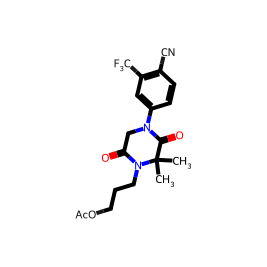 CC(=O)OCCCN1C(=O)CN(c2ccc(C#N)c(C(F)(F)F)c2)C(=O)C1(C)C